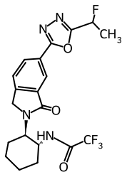 CC(F)c1nnc(-c2ccc3c(c2)C(=O)N([C@@H]2CCCC[C@H]2NC(=O)C(F)(F)F)C3)o1